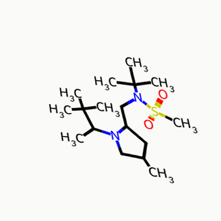 CC1CC(CN(C(C)(C)C)S(C)(=O)=O)N(C(C)C(C)(C)C)C1